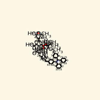 CCc1ccc(/C(=C(/c2ccccc2)c2ccc(Cn3cc(C[C@@H](NC(=O)[C@@H](CC(=O)O)NC(=O)[C@H](NC(=O)[C@@H](CCC(=O)O)NC(=O)[C@@H](CC(=O)O)NC(C)=O)C(C)C)C(N)=O)nn3)cc2)c2ccccc2)cc1